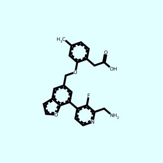 Cc1ccc(CC(=O)O)c(OCc2cc(-c3ccnc(CN)c3F)c3occc3c2)c1